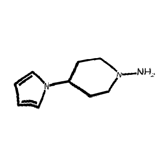 NN1CCC(n2cccc2)CC1